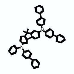 CC1(C)c2ccc(N(c3ccccc3)c3ccc(-c4ccccc4)cc3)cc2-c2ccc(N(c3ccc(-c4ccccc4)cc3)c3ccc(-c4ccccc4)cc3)cc21